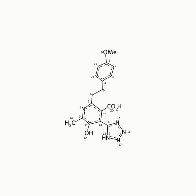 COc1ccc(CCc2nc(C)c(O)c(-c3nnn[nH]3)c2C(=O)O)cc1